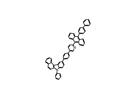 c1ccc(-c2ccc(-c3c4ccccc4c(-c4ccc(-c5ccc(-c6ccc7c(c6)c6c8ccccc8ccc6n7-c6ccccc6)cc5)cn4)c4ccccc34)cc2)cc1